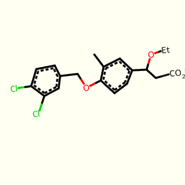 CCOC(=O)CC(OCC)c1ccc(OCc2ccc(Cl)c(Cl)c2)c(C)c1